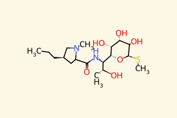 CCC[C@@H]1CC(C(=O)N[C@@H]([C@H]2O[C@H](SC)[C@H](O)[C@@H](O)[C@H]2O)[C@@H](C)O)N(C)C1